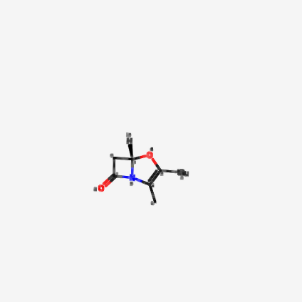 CC1=C(C(C)(C)C)O[C@H]2CC(=O)N12